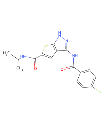 CC(C)NC(=O)c1cc2c(NC(=O)c3ccc(F)cc3)n[nH]c2s1